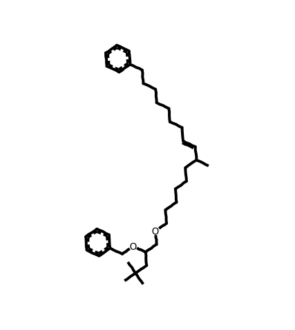 CC(/C=C/CCCCCCCc1ccccc1)CCCCCCOCC(CC(C)(C)C)OCc1ccccc1